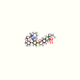 COc1cc(-c2cc(F)c(C3CCc4ccc(CC(C)C(=O)O)cc4O3)cc2CN2CCCCC23CC3)ccn1